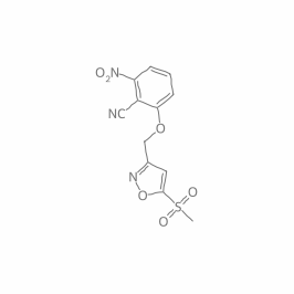 CS(=O)(=O)c1cc(COc2cccc([N+](=O)[O-])c2C#N)no1